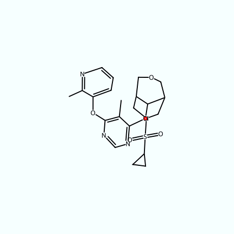 Cc1ncccc1Oc1ncnc(OC2C3COCC2CN(S(=O)(=O)C2CC2)C3)c1C